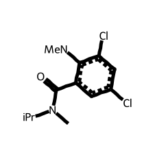 CNc1c(Cl)cc(Cl)cc1C(=O)N(C)C(C)C